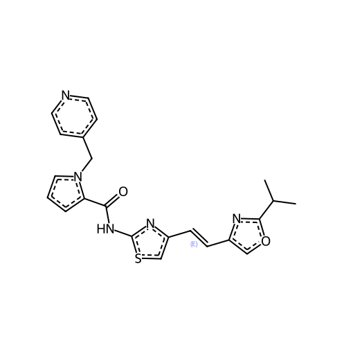 CC(C)c1nc(/C=C/c2csc(NC(=O)c3cccn3Cc3ccncc3)n2)co1